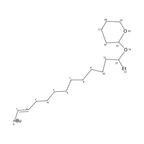 CCCCC=CCCCCCCCCCC(CC)OC1CCCCO1